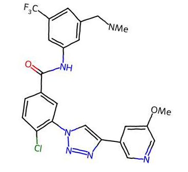 CNCc1cc(NC(=O)c2ccc(Cl)c(-n3cc(-c4cncc(OC)c4)nn3)c2)cc(C(F)(F)F)c1